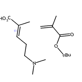 C/C(=C\CCN(C)C)C(=O)O.C=C(C)C(=O)OCCCC